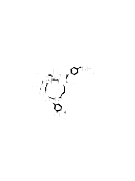 COc1ccc(C[C@H]2NC(=O)/C=C/C[C@@H](C(C)[C@H]3O[C@@H]3c3ccc(CN)cc3)OC(=O)[C@H](CC(C)(C)C)NC(=O)C(C)(C)CNC2=O)cc1Cl